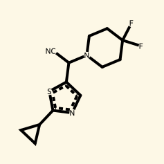 N#CC(c1cnc(C2CC2)s1)N1CCC(F)(F)CC1